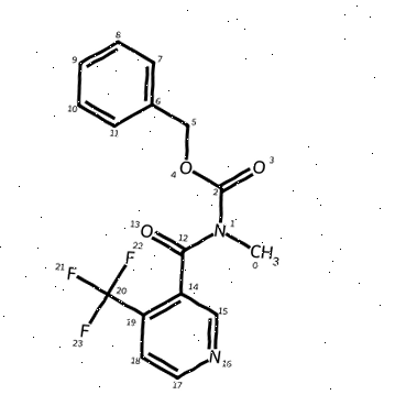 CN(C(=O)OCc1ccccc1)C(=O)c1cnccc1C(F)(F)F